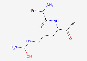 CC(C)C(=O)C(CCCNC(N)O)NC(=O)C(N)C(C)C